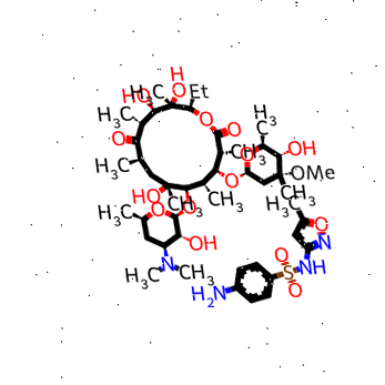 CC[C@H]1OC(=O)[C@H](C)[C@@H](O[C@H]2C[C@@](C)(OC)[C@@H](O)[C@H](C)O2)[C@H](C)[C@@H](O[C@@H]2O[C@H](C)C[C@H](N(C)C)[C@H]2O)[C@](C)(O)C[C@@H](C)C(=O)[C@H](C)[C@@H](O)[C@]1(C)O.Cc1cc(NS(=O)(=O)c2ccc(N)cc2)no1